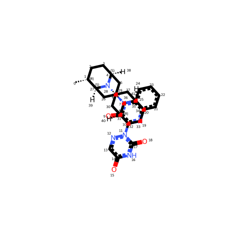 C[C@@H]1CC[C@H]2C[C@@H](n3c(=O)c(-n4ncc(=O)[nH]c4=O)nc4ccccc43)C[C@@H]1N2[C@H]1C[C@@H]2CCC[C@@H](C2)C1